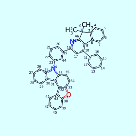 CC1(C)c2ccccc2-c2c(-c3ccccc3)cc(-c3cccc(-n4c5ccccc5c5c6c(ccc54)oc4ccccc46)c3)nc21